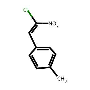 Cc1ccc(/C=C(/Cl)[N+](=O)[O-])cc1